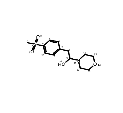 CS(=O)(=O)c1ccc(CC(O)N2CCOCC2)cc1